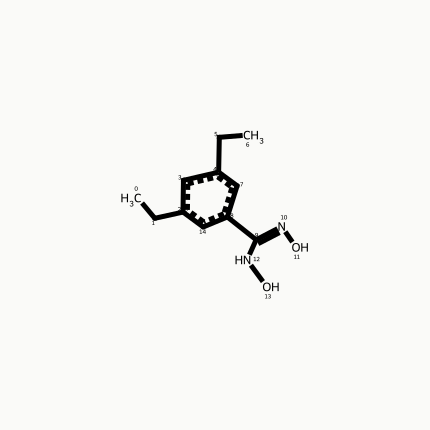 CCc1cc(CC)cc(C(=NO)NO)c1